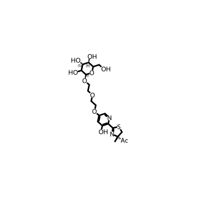 CC(=O)[C@@]1(C)CSC(c2ncc(OCCOCCO[C@@H]3OC(CO)[C@H](O)[C@H](O)C3O)cc2O)=N1